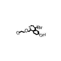 Oc1ccc2c(c1)C(Br)CCSC2COCCCl